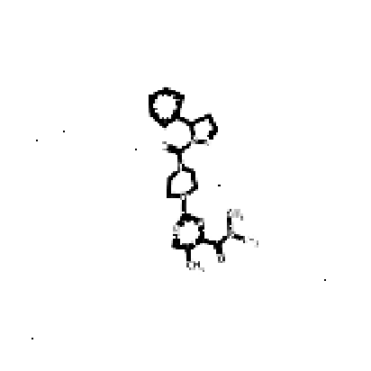 Cc1cnc(N2CCN(C(=O)N3N=CCC3c3ccccc3)CC2)nc1C(=O)N(C)C